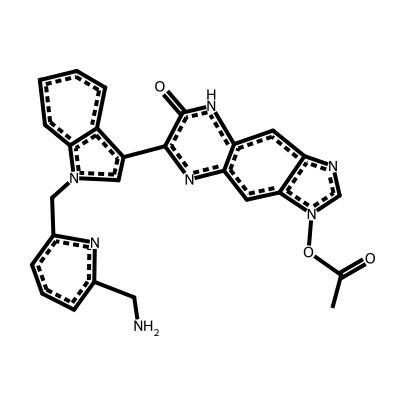 CC(=O)On1cnc2cc3[nH]c(=O)c(-c4cn(Cc5cccc(CN)n5)c5ccccc45)nc3cc21